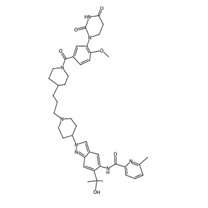 COc1ccc(C(=O)N2CCC(CCCN3CCC(n4cc5cc(NC(=O)c6cccc(C)n6)c(C(C)(C)O)cc5n4)CC3)CC2)cc1N1CCC(=O)NC1=O